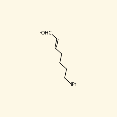 CC(C)CCCCC=C[C]=O